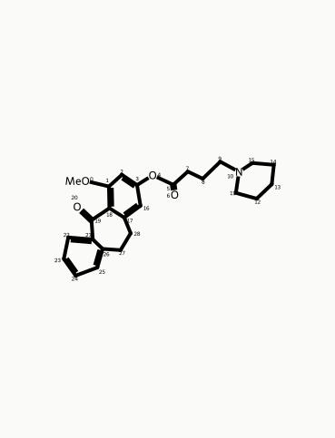 COc1cc(OC(=O)CCCN2CCCCC2)cc2c1C(=O)c1ccccc1CC2